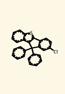 Clc1ccc2c(c1)C(c1ccccc1)(c1ccccc1)c1c-2sc2ccccc12